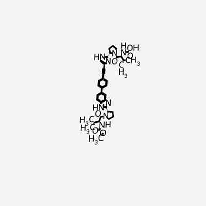 COC(=O)N[C@@H](C(=O)N1CCC[C@H]1c1nc2cc(-c3ccc(C#Cc4c[nH]c([C@@H]5CCCN5C(=O)[C@H](NC(=O)O)C(C)C)n4)cc3)ccc2[nH]1)C(C)C